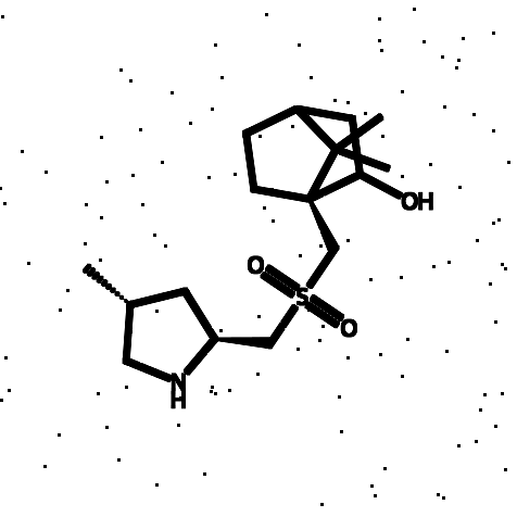 C[C@H]1CN[C@H](CS(=O)(=O)C[C@]23CCC(CC2O)C3(C)C)C1